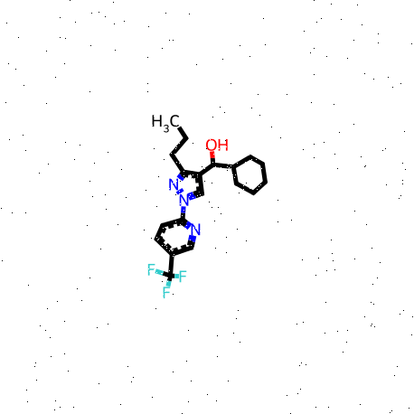 CCCc1nn(-c2ccc(C(F)(F)F)cn2)cc1C(O)C1CCCCC1